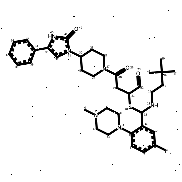 CN1CCN(c2ccc(F)cc2C(NCCC(C)(C)C)SC(C=O)CC(=O)N2CCC(n3cc(-c4ccccc4)[nH]c3=O)CC2)CC1